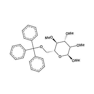 COC1[C@@H](OC)O[C@H](COC(c2ccccc2)(c2ccccc2)c2ccccc2)[C@@H](OC)[C@@H]1OC